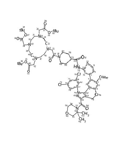 COc1cc2c(cc1-c1cccc(NC(=O)C3CCN(C(=O)CN4CCN(CC(=O)OC(C)(C)C)CCN(CC(=O)OC(C)(C)C)CCN(CC(=O)OC(C)(C)C)CC4)CC3)c1)-c1c(c(C(=O)N3CCOCC3(C)C)nn1-c1cc(Cl)cc(Cl)c1)CO2